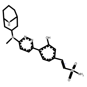 CN(c1ccc(-c2ccc(/C=C/S(N)(=O)=O)cc2O)nn1)C1CC2CCCC(C1)N2